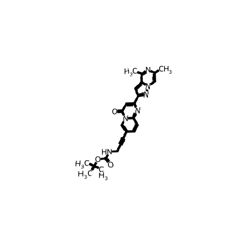 Cc1cn2nc(-c3cc(=O)n4cc(C#CCNC(=O)OC(C)(C)C)ccc4n3)cc2c(C)n1